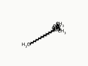 CCCCCCCCCCCCCCCCCCCCC(=O)OC1=C(CC)OC(C)C1=O